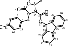 CC1OC(=O)C(Cc2ccc(Cl)cc2)N1C(=O)OC1c2ccccc2-c2ccccc21